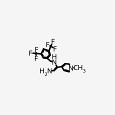 CN1C=CC(/C(=C/N)NCc2cc(C(F)(F)F)cc(C(F)(F)F)c2)=CC1